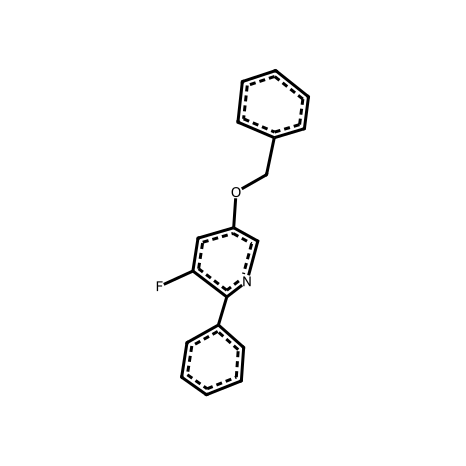 Fc1cc(OCc2ccccc2)cnc1-c1ccccc1